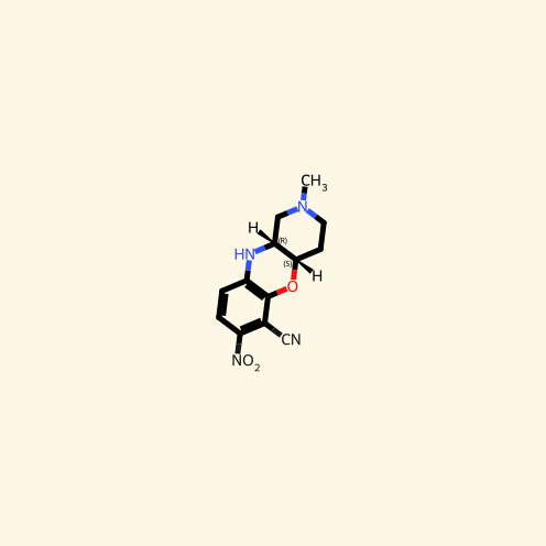 CN1CC[C@@H]2Oc3c(ccc([N+](=O)[O-])c3C#N)N[C@@H]2C1